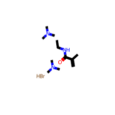 Br.C=C(C)C(=O)NCC.CN(C)C.CN(C)C